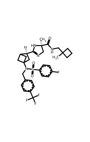 CC1(CNC(=O)[C@@]2(C)CN=C([C@H]3CC4(N(Cc5ccc(C(F)(F)F)cc5)S(=O)(=O)c5ccc(F)cc5)CC3C4)N2)CCC1